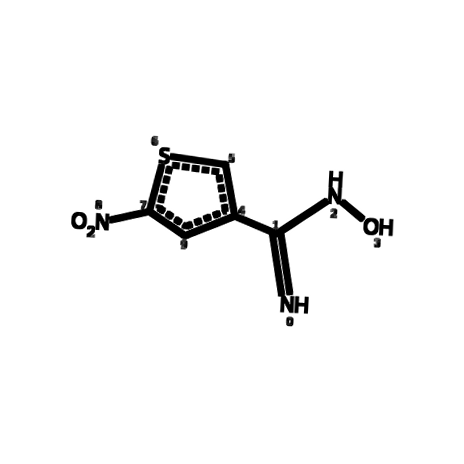 N=C(NO)c1csc([N+](=O)[O-])c1